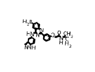 Bc1ccc2nc(-c3cccc(OCC(=O)NC(C)C)c3)nc(NC3=CC4C=NNC4C=C3)c2c1